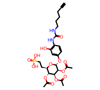 C#CCCCCNC(=O)Nc1ccc(O[C@H]2O[C@H](CCP(=O)(O)O)[C@@H](OC(C)=O)[C@H](OC(C)=O)[C@@H]2OC(C)=O)cc1O